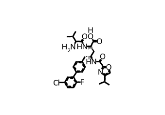 CC(C)c1coc(C(=O)N[C@H](Cc2ccc(-c3cc(Cl)ccc3F)cc2)C[C@@H](NC(=O)C(N)C(C)C)C(=O)O)n1